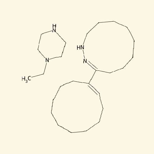 C1=C(C2=NNCCCCCCCC2)CCCCCCCCC1.CCN1CCNCC1